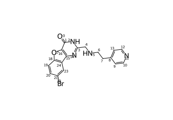 O=c1[nH]c(CNCCc2ccncc2)nc2c1oc1ccc(Br)cc12